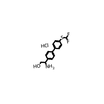 Cl.NC(CO)c1ccc(-c2ccc(SC(F)F)cc2)cc1